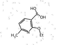 CCOc1nc(C)ccc1B(O)O